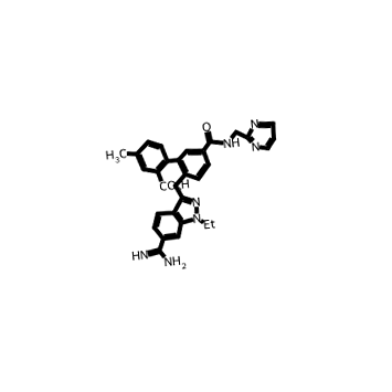 CCn1nc(Cc2ccc(C(=O)NCc3ncccn3)cc2-c2ccc(C)cc2C(=O)O)c2ccc(C(=N)N)cc21